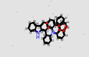 c1ccc(-c2ccccc2N(c2ccccc2-c2cccc3c2[nH]c2ccccc23)c2cccc3oc4ccccc4c23)cc1